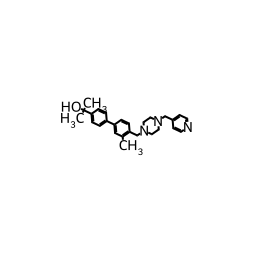 Cc1cc(-c2ccc(C(C)(C)O)cc2)ccc1CN1CCN(Cc2ccncc2)CC1